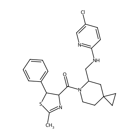 CC1=NC(C(=O)N2CCC3(CC3)CC2CNc2ccc(Cl)cn2)C(c2ccccc2)S1